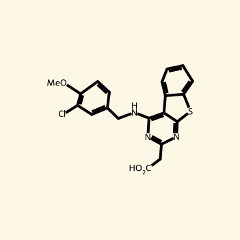 COc1ccc(CNc2nc(CC(=O)O)nc3sc4ccccc4c23)cc1Cl